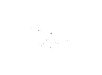 CSc1ccc(C2(c3ccccc3)C=Cc3c4c(c5ccccc5c3O2)-c2ccc(C(F)(F)F)cc2C4(C)C)cc1